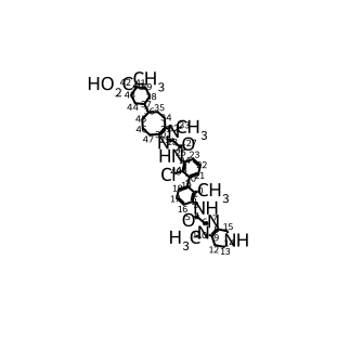 Cc1c(NC(=O)c2nc3c(n2C)CCNC3)cccc1-c1cccc(NC(=O)c2nc3c(n2C)CCC(C2CCC(C)(C(=O)O)CC2)CCC3)c1Cl